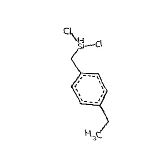 CCc1ccc(C[SiH](Cl)Cl)cc1